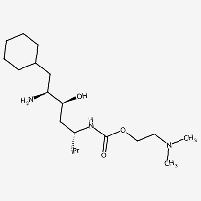 CC(C)[C@H](C[C@H](O)[C@@H](N)CC1CCCCC1)NC(=O)OCCN(C)C